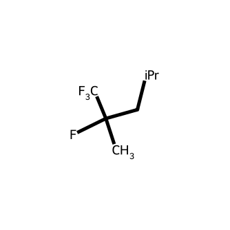 CC(C)CC(C)(F)C(F)(F)F